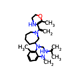 C=Nc1cccc(C)c1N(CNC(=C)C)C1CCCCN(C(=C)C2=C(C)OCCN2)C1